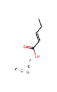 CCC=CC(=O)O.[C].[C].[C].[C].[C]